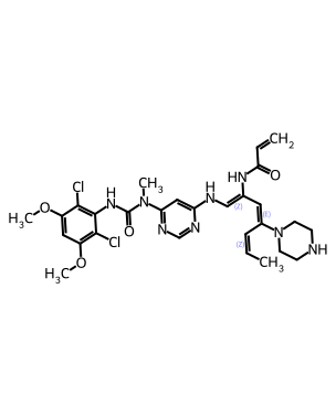 C=CC(=O)NC(=C\Nc1cc(N(C)C(=O)Nc2c(Cl)c(OC)cc(OC)c2Cl)ncn1)/C=C(\C=C/C)N1CCNCC1